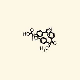 CCN(C(=O)c1ccc2ncc(-c3ccc(NC(=O)O)cc3)n2c1)c1ccc(Cl)cc1